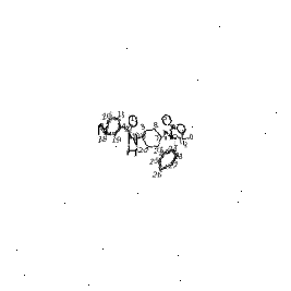 CC1(C)OC(=O)N([C@H]2CC[C@H](NC(=O)c3ccncc3)CC2)[C@H]1c1ccccc1